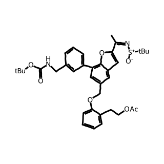 CC(=O)OCCc1ccccc1OCc1cc(-c2cccc(CNC(=O)OC(C)(C)C)c2)c2oc(/C(C)=N\[S+]([O-])C(C)(C)C)cc2c1